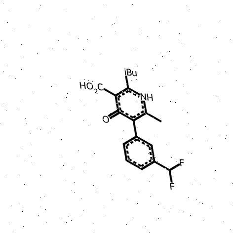 CCC(C)c1[nH]c(C)c(-c2cccc(C(F)F)c2)c(=O)c1C(=O)O